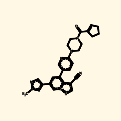 Cn1cc(-c2cc(-c3ccc(N4CCN(C(=O)C5=CCCC5)CC4)nc3)c3c(C#N)cnn3c2)cn1